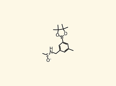 Cc1cc(CN[S+](C)[O-])cc(B2OC(C)(C)C(C)(C)O2)c1